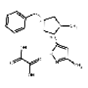 Cc1cc([C@@H]2C[C@H](Cc3ccccc3)CN2C)on1.O=C(O)C(=O)O